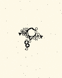 COc1ccc2c(O[C@@H]3C[C@H]4C(=O)N[C@]5(C(=O)NS(=O)(=O)C6CC6)C[C@H]5/C=C\C=C\C(=O)OC[C@H](NC(=O)OC(C)(C)C)C(=O)N4C3)nccc2c1